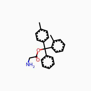 Cc1ccc(C(OC(=O)CN)(c2ccccc2)c2ccccc2C)cc1